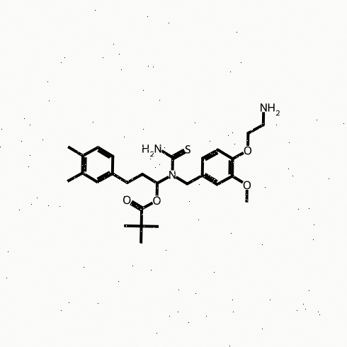 COc1cc(CN(C(N)=S)C(CCc2ccc(C)c(C)c2)OC(=O)C(C)(C)C)ccc1OCCN